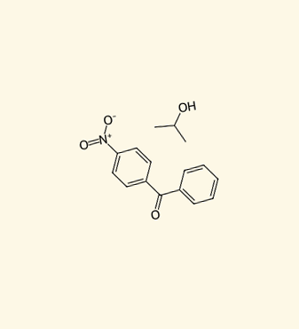 CC(C)O.O=C(c1ccccc1)c1ccc([N+](=O)[O-])cc1